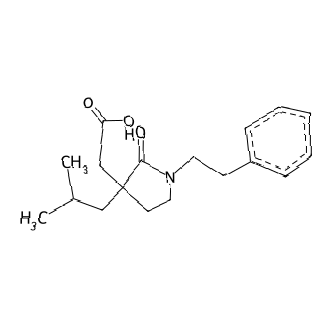 CC(C)CC1(CC(=O)O)CCN(CCc2ccccc2)C1=O